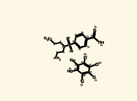 CCCN(CCC)S(=O)(=O)c1ccc(C(=O)O)cc1.Oc1c(Cl)c(Cl)c(Cl)c(Cl)c1Cl